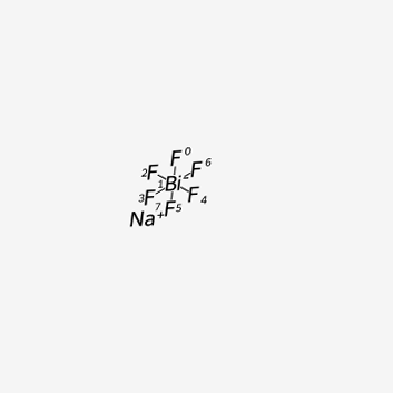 [F][Bi-]([F])([F])([F])([F])[F].[Na+]